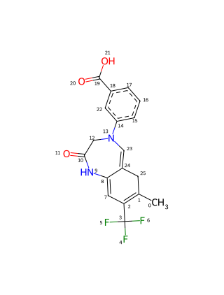 CC1=C(C(F)(F)F)C=C2NC(=O)CN(c3cccc(C(=O)O)c3)C=C2C1